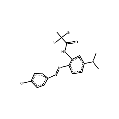 CN(C)c1ccc(N=Nc2ccc(Cl)cc2)c(NC(=O)C(C)(Br)Br)c1